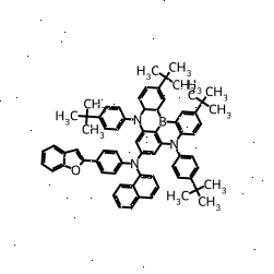 CC(C)(C)C1=CC2B3c4cc(C(C)(C)C)ccc4N(c4ccc(C(C)(C)C)cc4)c4cc(N(c5ccc(-c6cc7ccccc7o6)cc5)c5cccc6ccccc56)cc(c43)N(c3ccc(C(C)(C)C)cc3)C2C=C1